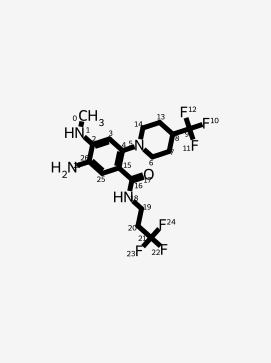 CNc1cc(N2CCC(C(F)(F)F)CC2)c(C(=O)NCCC(F)(F)F)cc1N